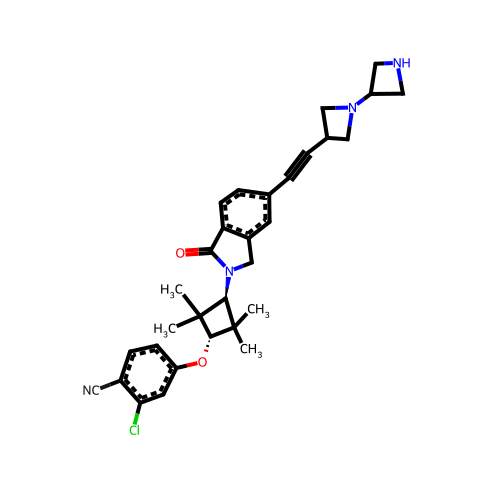 CC1(C)[C@H](Oc2ccc(C#N)c(Cl)c2)C(C)(C)[C@H]1N1Cc2cc(C#CC3CN(C4CNC4)C3)ccc2C1=O